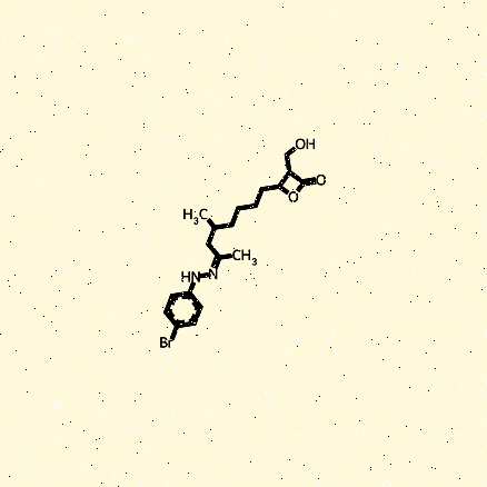 C/C(CC(C)CCCCC1OC(=O)C1CO)=N/Nc1ccc(Br)cc1